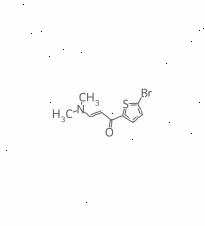 CN(C)C=CC(=O)c1ccc(Br)s1